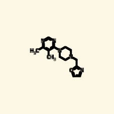 Cc1ncnc(N2CCN(Cc3ncco3)CC2)c1C